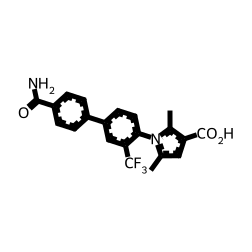 Cc1cc(C(=O)O)c(C)n1-c1ccc(-c2ccc(C(N)=O)cc2)cc1C(F)(F)F